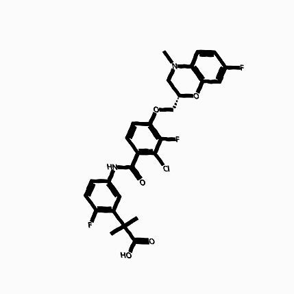 CN1C[C@@H](COc2ccc(C(=O)Nc3ccc(F)c(C(C)(C)C(=O)O)c3)c(Cl)c2F)Oc2cc(F)ccc21